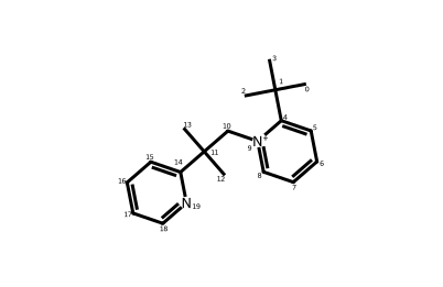 CC(C)(C)c1cccc[n+]1CC(C)(C)c1ccccn1